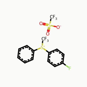 Fc1ccc([S+](c2ccccc2)C(F)(F)F)cc1.O=S(=O)([O-])C(F)(F)F